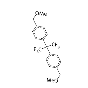 COCc1ccc(C(c2ccc(COC)cc2)(C(F)(F)F)C(F)(F)F)cc1